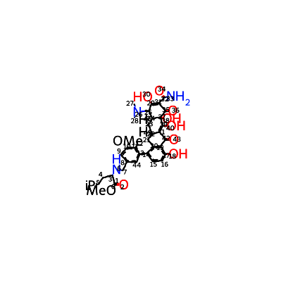 COC(=O)C(CC(C)C)NCc1ccc(OC)c(-c2ccc(O)c3c2C[C@H]2C[C@H]4C(N(C)C)C(O)=C(C(N)=O)C(=O)[C@@]4(O)C(O)=C2C3=O)c1